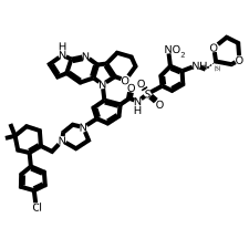 CC1(C)CCC(CN2CCN(c3ccc(C(=O)NS(=O)(=O)c4ccc(NC[C@H]5COCCO5)c([N+](=O)[O-])c4)c(-n4c5c(c6nc7[nH]ccc7cc64)CCCO5)c3)CC2)=C(c2ccc(Cl)cc2)C1